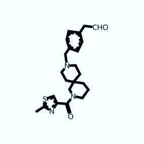 Cc1nc(C(=O)N2CCCC3(CCN(Cc4ccc(CC=O)cc4)CC3)C2)cs1